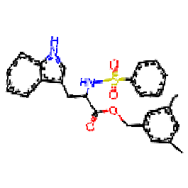 Cc1cc(C)cc(COC(=O)C(Cc2c[nH]c3ccccc23)NS(=O)(=O)c2ccccc2)c1